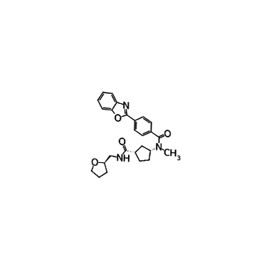 CN(C(=O)c1ccc(-c2nc3ccccc3o2)cc1)[C@@H]1CC[C@H](C(=O)NC[C@H]2CCCO2)C1